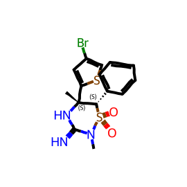 CN1C(=N)N[C@](C)(c2cc(Br)cs2)[C@H](c2ccccc2)S1(=O)=O